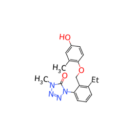 CCc1cccc(-n2nnn(C)c2=O)c1COc1ccc(O)cc1C